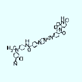 CN(c1ccc(C#N)c(Cl)c1)C1CCC(NC(=O)c2ccc(N3CCN(C4CN(c5ccc6c(c5)C(=O)N(C5CCC(=O)NC5=O)C6=O)C4)CC3)cc2)CC1